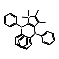 CC1=C(C)S(C)(C)C(P(c2ccccc2)c2ccccc2)=C1P(c1ccccc1)c1ccccc1